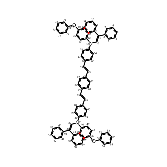 C(=C(c1ccccc1)c1ccccc1)N(c1ccc(/C=C/c2ccc(/C=C/c3ccc(N(C=C(c4ccccc4)c4ccccc4)c4ccc(Oc5ccccc5)cc4)cc3)cc2)cc1)c1ccc(Oc2ccccc2)cc1